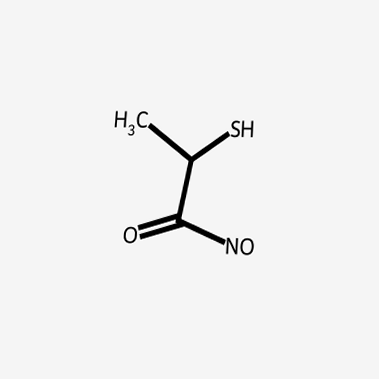 CC(S)C(=O)N=O